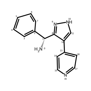 N[C@H](c1ccccc1)c1n[nH]cc1-c1ccncc1